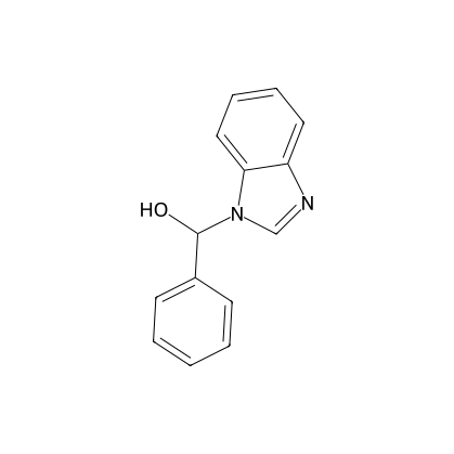 OC(c1ccccc1)n1cnc2ccccc21